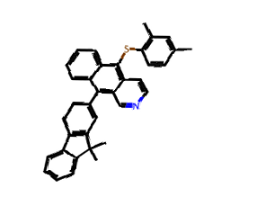 Cc1ccc(Sc2c3ccccc3c(C3=CC4=C(CC3)c3ccccc3C4(C)C)c3cnccc23)c(C)c1